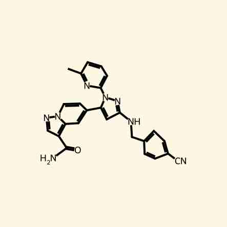 Cc1cccc(-n2nc(NCc3ccc(C#N)cc3)cc2-c2ccn3ncc(C(N)=O)c3c2)n1